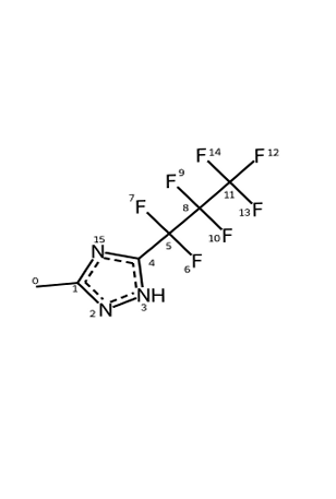 Cc1n[nH]c(C(F)(F)C(F)(F)C(F)(F)F)n1